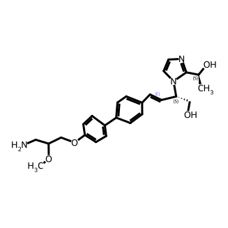 COC(CN)COc1ccc(-c2ccc(/C=C/[C@@H](CO)n3ccnc3[C@H](C)O)cc2)cc1